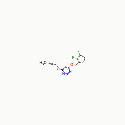 CC#CCOc1cc(OCc2cccc(F)c2F)ncn1